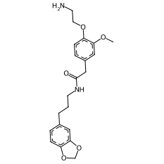 COc1cc(CC(=O)NCCCc2ccc3c(c2)OCO3)ccc1OCCN